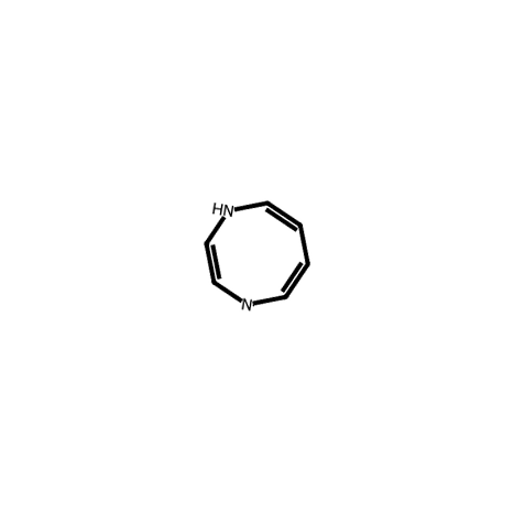 C1=C\[N]/C=C\N\C=C/1